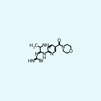 CC(N)/C(=N/C(=N)Br)Nc1ccc(C(=O)N2CCOCC2)cn1